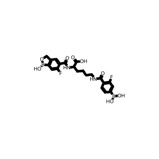 O=C(NCCCCC(NC(=O)c1cc2c(cc1F)B(O)OC2)C(=O)O)c1ccc(B(O)O)cc1F